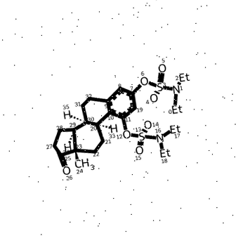 CCN(CC)S(=O)(=O)Oc1cc2c(c(OS(=O)(=O)N(CC)CC)c1)[C@H]1CC[C@]3(C)C(=O)CC[C@H]3[C@H]1CC2